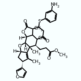 COC(=O)CC[C@H]1[C@]2(C)C3=C(C)[C@H](c4ccoc4)C[C@@H]3O[C@@H]2[C@@H]2OC(=O)[C@]3(C)C(Sc4cccc(N)c4)CC(=O)[C@@]1(C)C23